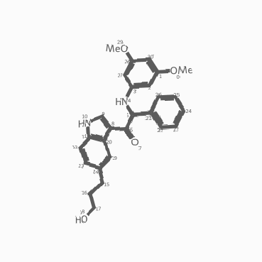 COc1cc(NC(C(=O)c2c[nH]c3ccc(CCCO)cc23)c2ccccc2)cc(OC)c1